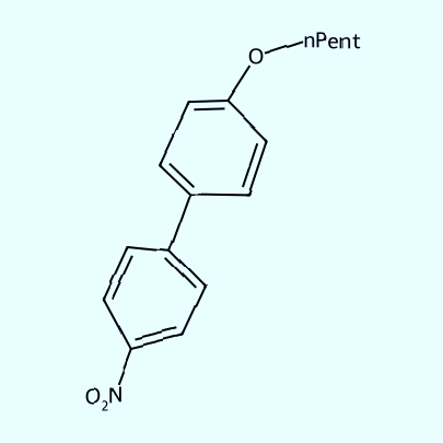 [CH2]CCCCOc1ccc(-c2ccc([N+](=O)[O-])cc2)cc1